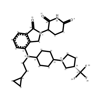 O=C1CCC(N2Cc3c(cccc3N(CCC3CC3)C3CCC(N4CC[C@H](C(F)(F)F)C4)CC3)C2=O)C(=O)N1